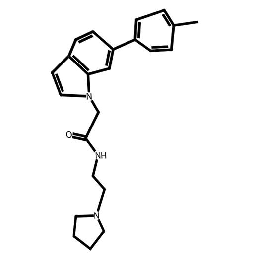 Cc1ccc(-c2ccc3ccn(CC(=O)NCCN4CCCC4)c3c2)cc1